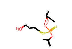 CC(C)OP(=S)(OC(C)C)SCCCO